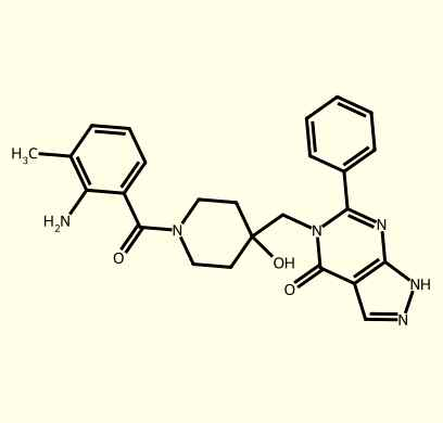 Cc1cccc(C(=O)N2CCC(O)(Cn3c(-c4ccccc4)nc4[nH]ncc4c3=O)CC2)c1N